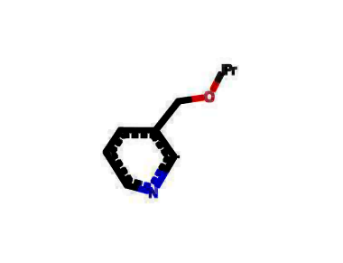 CC(C)OCc1[c]nccc1